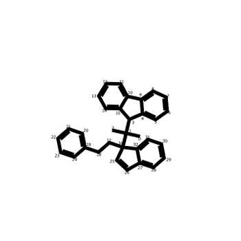 CC(C)(C1c2ccccc2-c2ccccc21)C1(CCc2ccccc2)C=Cc2ccccc21